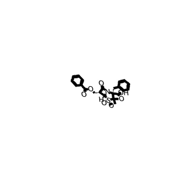 CC1(C)[C@](Cc2ccccc2)(C(=O)O)N2C(=O)[C@@H](COC(=O)c3ccccc3)[C@H]2S1(=O)=O